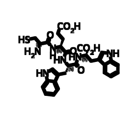 N[C@@H](CS)C(=O)N[C@@H](CCC(=O)O)C(=O)N[C@@H](Cc1c[nH]c2ccccc12)C(=O)N[C@@H](Cc1c[nH]c2ccccc12)C(=O)O